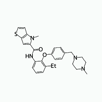 CCc1cccc(NC(=O)c2cc3sccc3n2C)c1Oc1ccc(CN2CCN(C)CC2)cc1